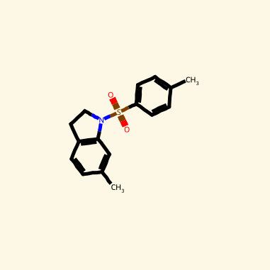 Cc1ccc(S(=O)(=O)N2CCc3ccc(C)cc32)cc1